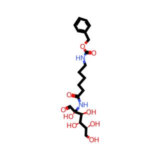 O=C[C@@](O)(NC(=O)CCCCCNC(=O)OCc1ccccc1)[C@@H](O)[C@@H](O)[C@H](O)CO